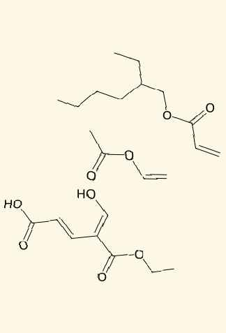 C=CC(=O)OCC(CC)CCCC.C=COC(C)=O.CCOC(=O)C(C=CC(=O)O)=CO